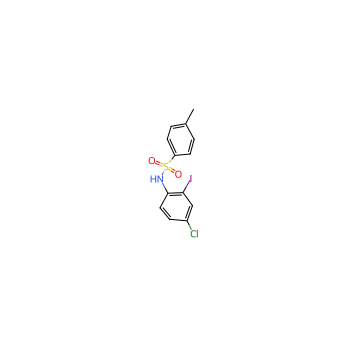 Cc1ccc(S(=O)(=O)Nc2ccc(Cl)cc2I)cc1